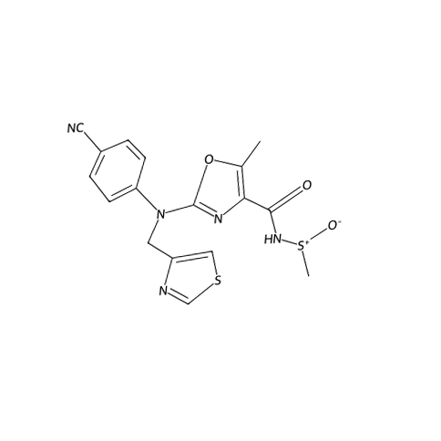 Cc1oc(N(Cc2cscn2)c2ccc(C#N)cc2)nc1C(=O)N[S+](C)[O-]